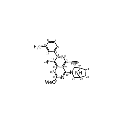 C#Cc1nc(-c2cccc(C(F)(F)F)c2)c(F)c2nc(OC)nc(N3CC4CCC(C3)N4)c12